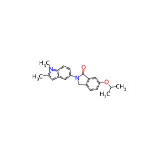 Cc1cc2cc(N3Cc4ccc(OC(C)C)cc4C3=O)ccc2n1C